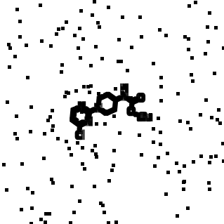 CC(C)(C)OC(=O)NC1CCN(c2nccc(Cl)n2)CC1